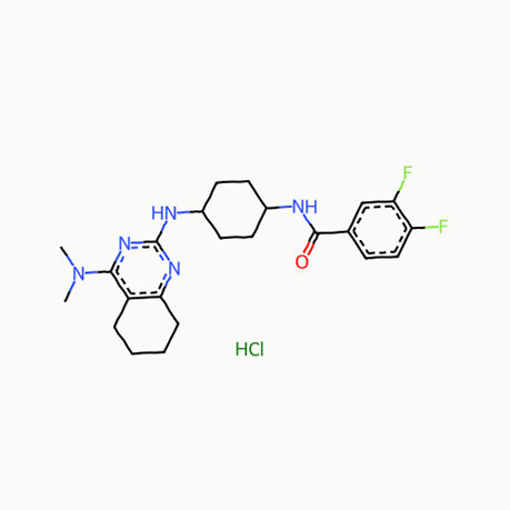 CN(C)c1nc(NC2CCC(NC(=O)c3ccc(F)c(F)c3)CC2)nc2c1CCCC2.Cl